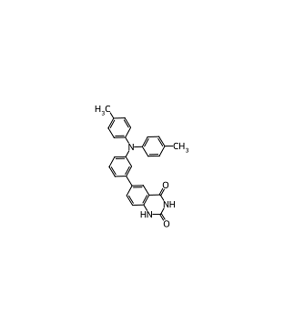 Cc1ccc(N(c2ccc(C)cc2)c2cccc(-c3ccc4[nH]c(=O)[nH]c(=O)c4c3)c2)cc1